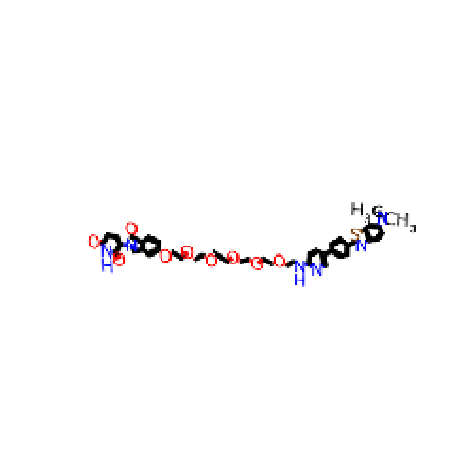 CN(C)c1ccc2nc(-c3ccc(-c4ccc(NCCOCCOCCOCCOCCOCCOc5ccc6c(c5)CN(C5CCC(=O)NC5=O)C6=O)nc4)cc3)sc2c1